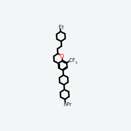 CCCC1CCC(C2CCC(c3cc4c(c(C(F)(F)F)c3)OC(CCC3CCC(CC)CC3)CC4)CC2)CC1